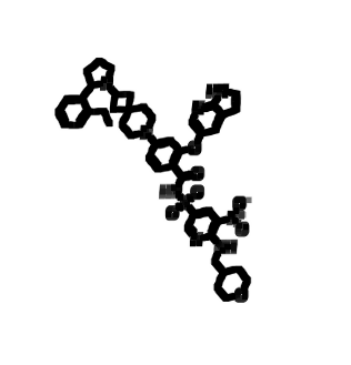 CCc1ccccc1C1CCCN1C1CC2(CCN(c3ccc(C(=O)NS(=O)(=O)c4cnc(NCC5CCOCC5)c([N+](=O)[O-])c4)c(Oc4cnc5[nH]ccc5c4)c3)CC2)C1